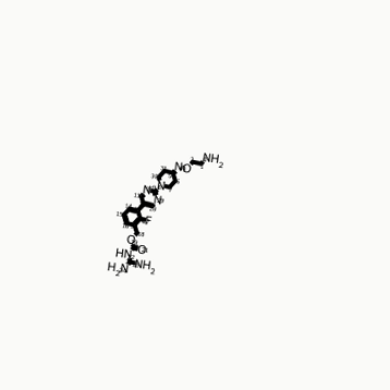 NCCON=C1CCN(c2ncc(-c3cccc(COC(=O)NC(N)N)c3F)cn2)CC1